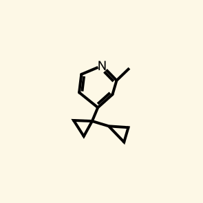 Cc1cc(C2(C3CC3)CC2)ccn1